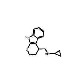 c1ccc2c3c([nH]c2c1)SCCC3CNC1CC1